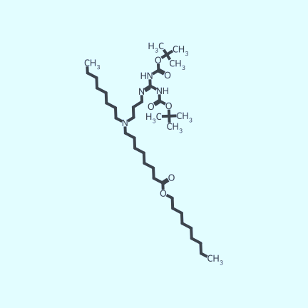 CCCCCCCCCOC(=O)CCCCCCCN(CCCCCCCC)CCCN=C(NC(=O)OC(C)(C)C)NC(=O)OC(C)(C)C